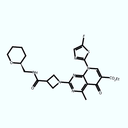 CCOC(=O)c1cn(-c2ncc(F)s2)c2nc(N3CC(C(=O)NC[C@@H]4CCCCO4)C3)nc(C)c2c1=O